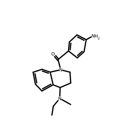 CCN(C)C1CCN(C(=O)c2ccc(N)cc2)c2ccccc21